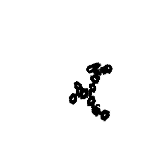 c1ccc(-c2ccc(-c3ccc(N(c4ccc(-c5ccc(N(c6ccccc6)c6ccccc6)cc5)cc4)c4ccc5c(c4)c4ccccc4n5-c4ccccc4)cc3)s2)cc1